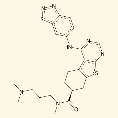 CN(C)CCCN(C)C(=O)[C@H]1CCc2c(sc3ncnc(Nc4ccc5nnsc5c4)c23)C1